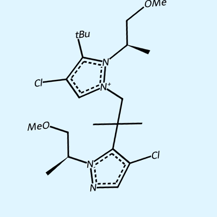 COC[C@@H](C)n1c(C(C)(C)C)c(Cl)c[n+]1CC(C)(C)c1c(Cl)cnn1[C@@H](C)COC